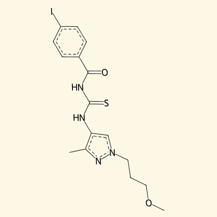 COCCCn1cc(NC(=S)NC(=O)c2ccc(I)cc2)c(C)n1